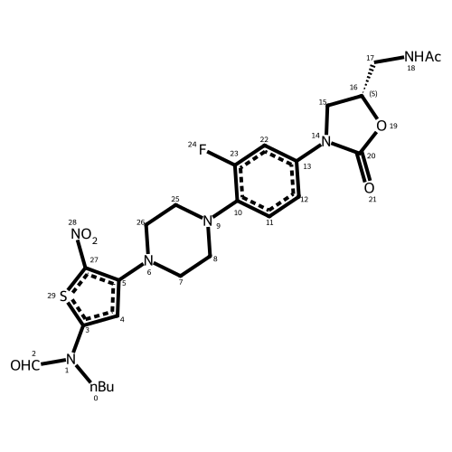 CCCCN(C=O)c1cc(N2CCN(c3ccc(N4C[C@H](CNC(C)=O)OC4=O)cc3F)CC2)c([N+](=O)[O-])s1